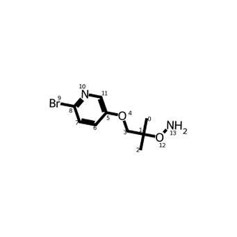 CC(C)(COc1ccc(Br)nc1)ON